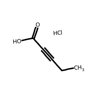 CCC#CC(=O)O.Cl